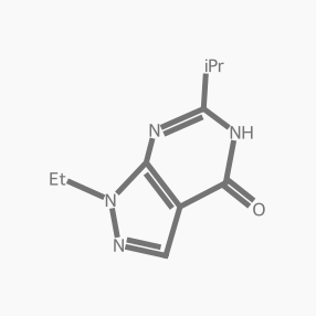 CCn1ncc2c(=O)[nH]c(C(C)C)nc21